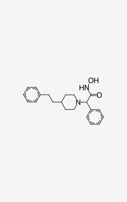 O=C(NO)C(c1ccccc1)N1CCC(CCc2ccccc2)CC1